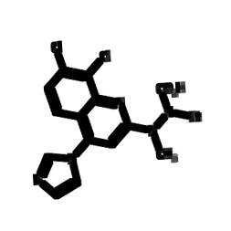 CCN(C(=O)O)N(C)c1cc(-n2ccnc2)c2ccc(Cl)c(Cl)c2n1